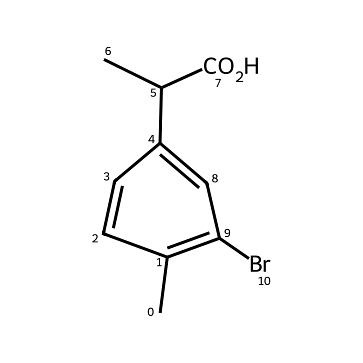 Cc1ccc(C(C)C(=O)O)cc1Br